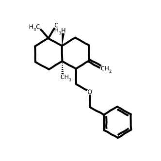 C=C1CC[C@H]2C(C)(C)CCC[C@]2(C)C1COCc1ccccc1